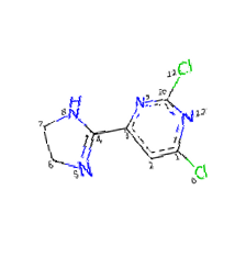 Clc1cc(C2=NCCN2)nc(Cl)n1